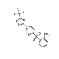 Cc1ccccc1S(=O)(=O)c1ccc(-c2noc(C(F)(F)F)n2)cn1